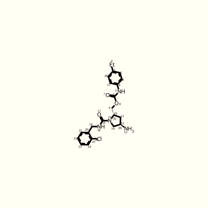 CCc1ccc(NC(=O)OC[C@@H]2C[C@@H](N)CN2C(=O)NCc2ccccc2Cl)cc1